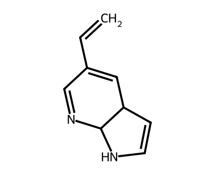 C=CC1=CC2C=CNC2N=C1